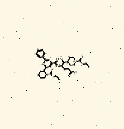 CCOC(=O)C1CCCCC1c1cc(C(=O)NC(CCC(=O)O)C(=O)N2CCN(C(=O)OCC)CC2)nc(-c2ccccc2)n1